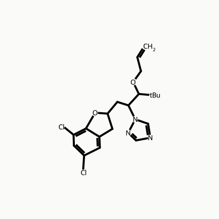 C=CCOC(C(CC1Cc2cc(Cl)cc(Cl)c2O1)n1cncn1)C(C)(C)C